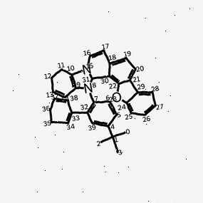 CC(C)(C)c1ccc(N2C3=C(CCC=C3)N3C=Cc4ccc5c(oc6ccccc65)c4C32)c(C2=CCCC=C2)c1